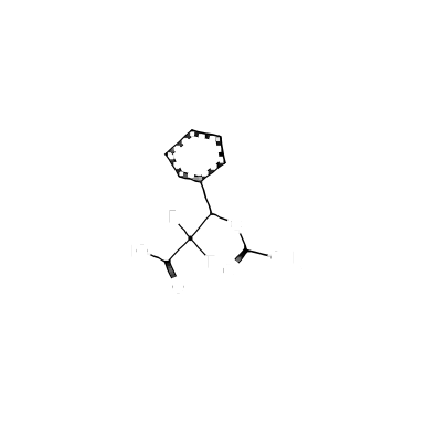 CC(=O)OC(c1ccccc1)C(F)(F)C(=O)O